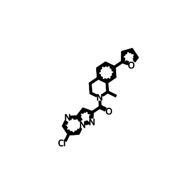 CC1c2cc(-c3ccco3)ccc2CCN1C(=O)c1cc2ncc(Cl)cn2n1